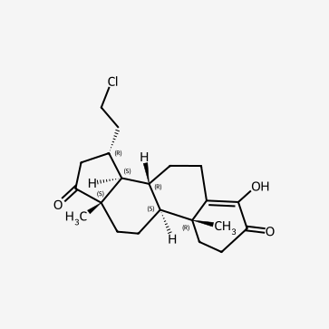 C[C@]12CCC(=O)C(O)=C1CC[C@H]1[C@@H]3[C@@H](CCCl)CC(=O)[C@@]3(C)CC[C@@H]12